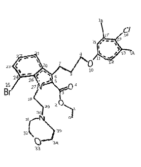 CCOC(=O)c1c(CCCOc2cc(C)c(Cl)c(C)c2)c2cccc(Br)c2n1CCN1CCOCC1